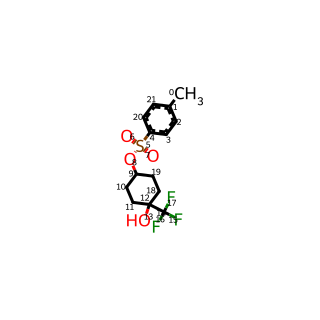 Cc1ccc(S(=O)(=O)OC2CCC(O)(C(F)(F)F)CC2)cc1